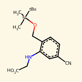 CC(C)(C)[Si](C)(C)OCc1ccc(C#N)cc1NCC(=O)O